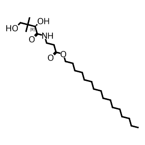 CCCCCCCCCCCCCCCCOC(=O)CCNC(=O)[C@H](O)C(C)(C)CO